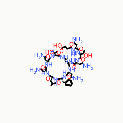 CC(C)C[C@@H]1NC(=O)[C@@H](Cc2ccccc2)NC(=O)[C@H](CCN)NC[C@@H](NC(=O)[C@H](CCN)NC(=O)[C@@H](NC(=O)[C@H](CCN)NC(=O)CCC(=O)O)C(C)O)CCNC(=O)[C@H](C(C)O)NC(=O)[C@H](CCN)NC(=O)[C@H](CCN)NC1=O